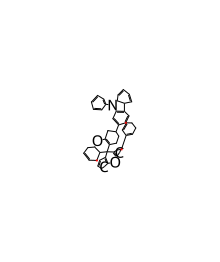 C1=CC2c3ccc(C4CCC5=C(C4)OC4CC=CCC4C54C5=C(CCC=C5)OC5=C4CC(C4=CCCC=C4)CC5)cc3N(c3ccccc3)C2C=C1